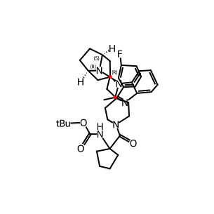 Cc1nc2ccccc2n1[C@H]1C[C@H]2CC[C@@H](C1)N2CCC1(c2cccc(F)c2)CCN(C(=O)C2(NC(=O)OC(C)(C)C)CCCC2)CC1